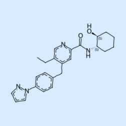 CCc1cnc(C(=O)N[C@H]2CCCC[C@@H]2O)cc1Cc1ccc(-n2cccn2)cc1